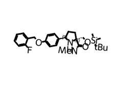 CNC(=O)[C@]1(CO[Si](C)(C)C(C)(C)C)CC[C@H](c2ccc(OCc3ccccc3F)cc2)N1